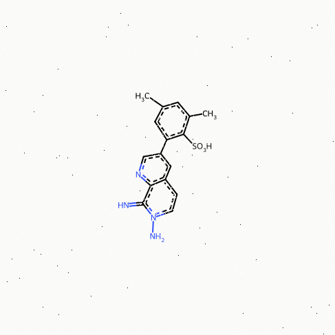 Cc1cc(C)c(S(=O)(=O)O)c(-c2cnc3c(=N)n(N)ccc3c2)c1